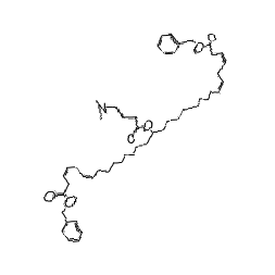 CN(C)CCCC(=O)OC(CCCCCCCC/C=C\C/C=C\CC(=O)OCc1ccccc1)CCCCCCCC/C=C\C/C=C\CC(=O)OCc1ccccc1